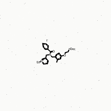 CCCCCCCCCCCCOc1ccc(CN(Cc2ccc[n+](CC)c2)C(=O)c2ccccc2)c(C)c1.[I-]